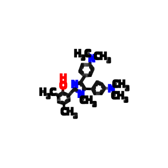 Cc1cc(C)c(O)c(-c2nc(-c3ccc(N(C)C)cc3)c(-c3ccc(N(C)C)cc3)n2C)c1